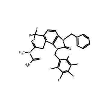 CN(C(N)=O)C(=O)Cc1c(C(F)(F)F)ccc2c1n(Cc1c(F)c(F)c(F)c(F)c1F)c(=O)n2Cc1ccccc1